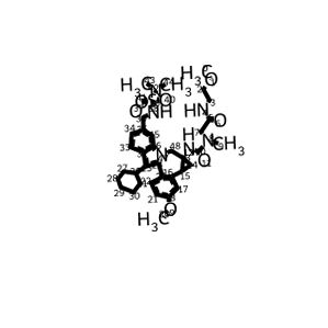 COCCNC(=O)CN(C)C(=O)NC12CC1c1cc(OC)ccc1-c1c(C3CCCCC3)c3ccc(C(=O)NS(=O)(=O)N(C)C)cc3n1C2